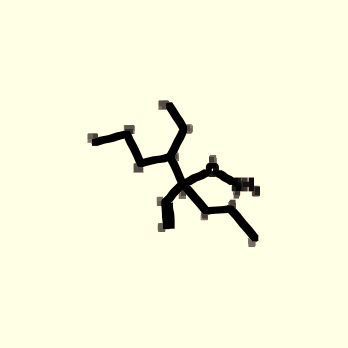 C=CC(CCC)(O[SiH3])C(CC)CCC